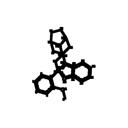 COc1c[c]ccc1OCCN1C2CCC1CC(c1noc3ccccc13)C2